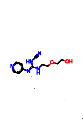 N#CN/C(=N\c1ccncc1)NCCOCCO